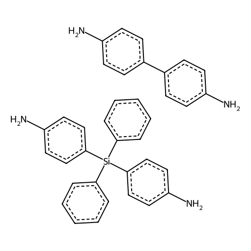 Nc1ccc(-c2ccc(N)cc2)cc1.Nc1ccc([Si](c2ccccc2)(c2ccccc2)c2ccc(N)cc2)cc1